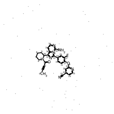 CC#CC(=O)N1CCCCC1c1nc(-c2ccc(Oc3cc(C#N)ccn3)c(F)c2)n2c(N)nccc12